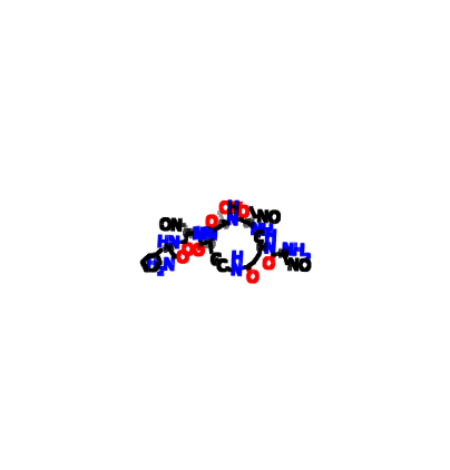 CC(N=O)[C@@H]1NC[C@@H](NC(=O)[C@@H](N)CN=O)CCC(=O)NCCCC[C@@H](C(=O)N[C@@H](CN=O)C(=O)N[C@@H](Cc2ccccc2)C(N)=O)NC(=O)[C@H](CO)NC1=O